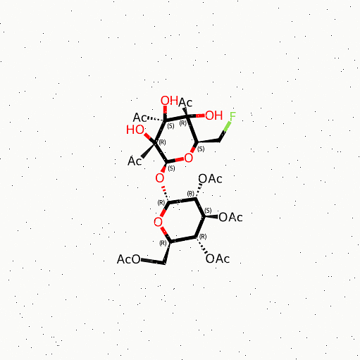 CC(=O)OC[C@H]1O[C@H](O[C@@H]2O[C@H](CF)[C@](O)(C(C)=O)[C@@](O)(C(C)=O)[C@]2(O)C(C)=O)[C@H](OC(C)=O)[C@@H](OC(C)=O)[C@@H]1OC(C)=O